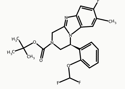 Cc1cc2c(cc1F)nc1n2[C@@H](c2ccccc2OC(F)F)CN(C(=O)OC(C)(C)C)C1